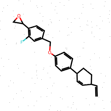 C=CC1C=CC(c2ccc(OCc3ccc(C4CO4)c(F)c3)cc2)CC1